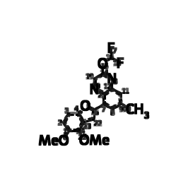 COc1ccc2oc(-c3cc(C)cc4nc(OC(F)F)cnc34)cc2c1OC